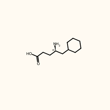 N[C@H](CCC(=O)O)CC1CCCCC1